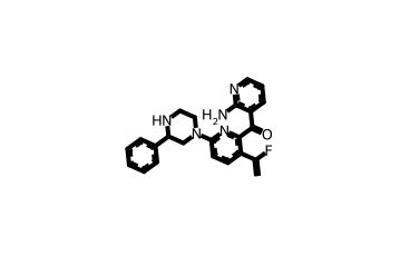 C=C(F)c1ccc(N2CCNC(c3ccccc3)C2)nc1C(=O)c1cccnc1N